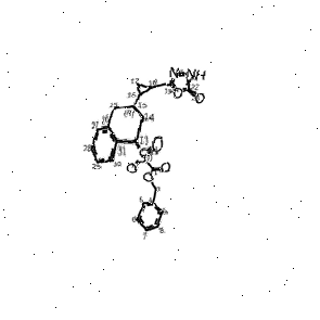 O=C(OCc1ccccc1)S(=O)(=O)C1C[C@H](C2CC2c2n[nH]c(=O)o2)Cc2ccccc21